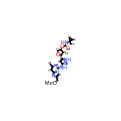 COCc1cn2c(Nc3cc([C@@H]4OC[C@H](OC(=O)NC5(C)CC5)[C@H]4F)[nH]n3)nc(C)cc2n1